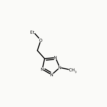 CCOCc1nnn(C)n1